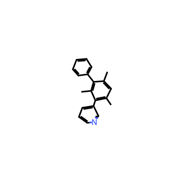 Cc1cc(C)c(-c2cccnc2)c(C)c1-c1ccccc1